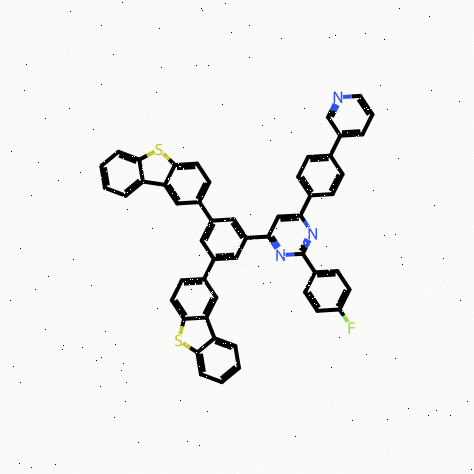 Fc1ccc(-c2nc(-c3ccc(-c4cccnc4)cc3)cc(-c3cc(-c4ccc5sc6ccccc6c5c4)cc(-c4ccc5sc6ccccc6c5c4)c3)n2)cc1